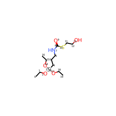 CCO[Si](CCCNC(=O)SCCO)(OCC)OCC